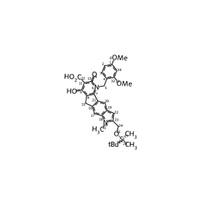 COc1ccc(Cn2c3c(c(O)c(C(=O)O)c2=O)Cc2cc4c(cc2-3)cc(CO[Si](C)(C)C(C)(C)C)n4C)c(OC)c1